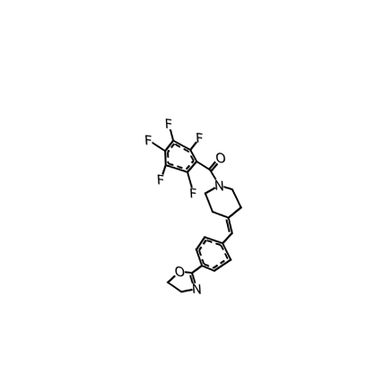 O=C(c1c(F)c(F)c(F)c(F)c1F)N1CCC(=Cc2ccc(C3=NCCO3)cc2)CC1